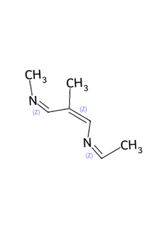 C\C=N/C=C(C)\C=N/C